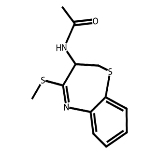 CSC1=Nc2ccccc2SCC1NC(C)=O